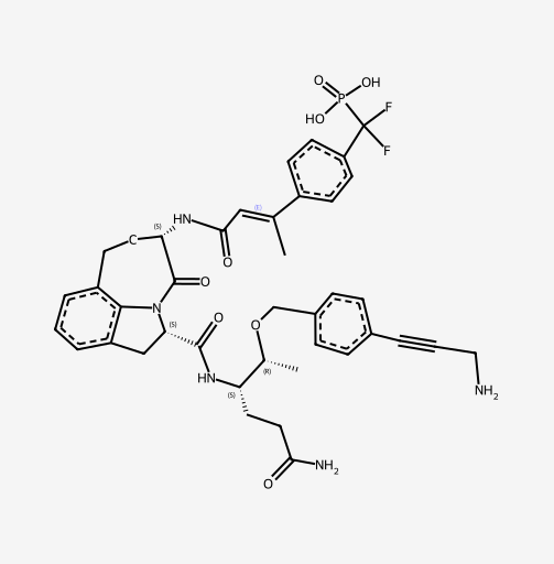 C/C(=C\C(=O)N[C@H]1CCc2cccc3c2N(C1=O)[C@H](C(=O)N[C@@H](CCC(N)=O)[C@@H](C)OCc1ccc(C#CCN)cc1)C3)c1ccc(C(F)(F)P(=O)(O)O)cc1